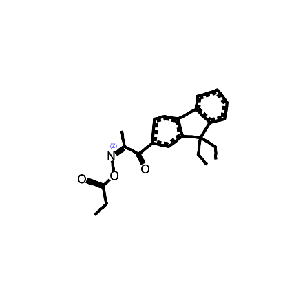 CCC(=O)O/N=C(/C)C(=O)c1ccc2c(c1)C(CC)(CC)c1ccccc1-2